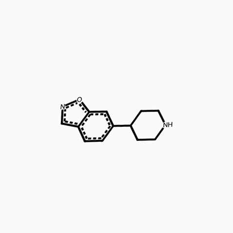 c1cc2cnoc2cc1C1CCNCC1